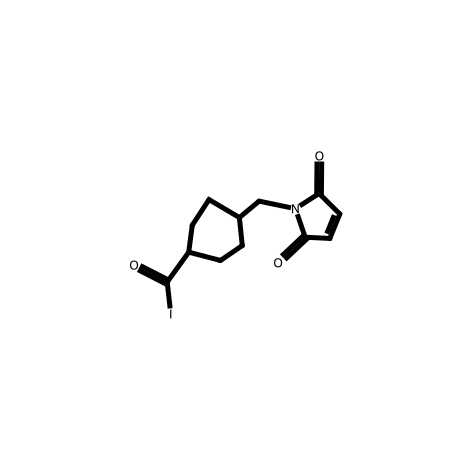 O=C(I)C1CCC(CN2C(=O)C=CC2=O)CC1